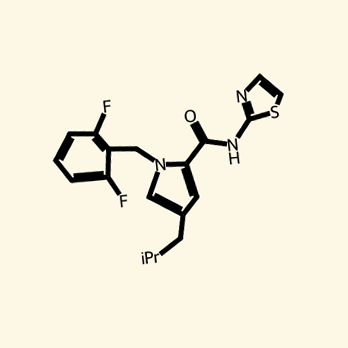 CC(C)Cc1cc(C(=O)Nc2nccs2)n(Cc2c(F)cccc2F)c1